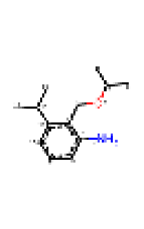 CC(C)OCc1c(N)cccc1C(C)C